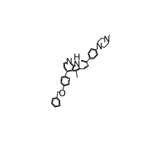 C=C(/C=C\c1[nH]c2nccc(-c3ccc(OCc4ccccc4)cc3)c2c1C)c1ccc(N2CCN(C)CC2)cc1